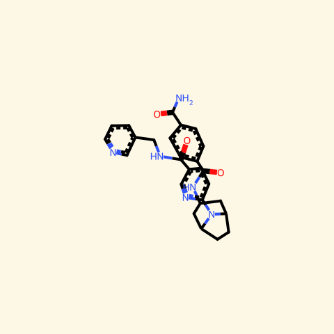 NC(=O)c1ccc(C(=O)NC2CC3CCC(C2)N3c2ccc(C(=O)NCc3cccnc3)cn2)cc1